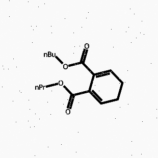 CCCCOC(=O)C1=CCCC=C1C(=O)OCCC